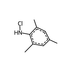 Cc1cc(C)c(NCl)c(C)c1